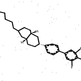 CCCCCC1CC[C@@H]2C[C@H](c3ccc(-c4cc(F)c(F)c(F)c4)cc3)CC[C@@H]2C1